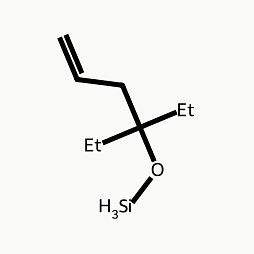 C=CCC(CC)(CC)O[SiH3]